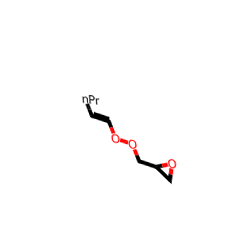 CCCC=COOCC1CO1